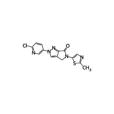 Cc1ncc(N2Cc3cn(-c4ccc(Cl)nc4)nc3C2=O)s1